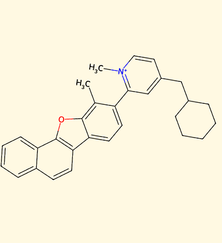 Cc1c(-c2cc(CC3CCCCC3)cc[n+]2C)ccc2c1oc1c3ccccc3ccc21